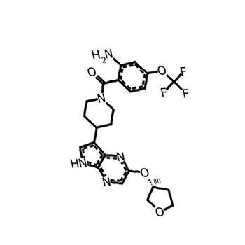 Nc1cc(OC(F)(F)F)ccc1C(=O)N1CCC(c2c[nH]c3ncc(O[C@@H]4CCOC4)nc23)CC1